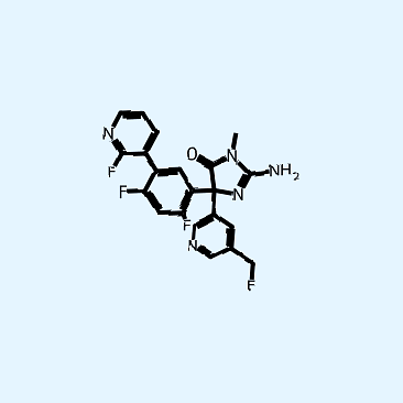 CN1C(=O)C(c2cncc(CF)c2)(c2cc(-c3cccnc3F)c(F)cc2F)N=C1N